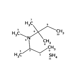 CCC(C)N(C)C(C)(C)CC.[SiH4]